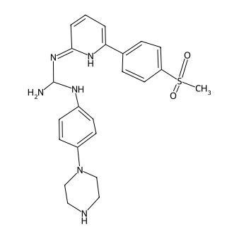 CS(=O)(=O)c1ccc(-c2ccc/c(=N/C(N)Nc3ccc(N4CCNCC4)cc3)[nH]2)cc1